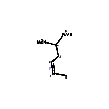 C/N=C\CC(NC)NC